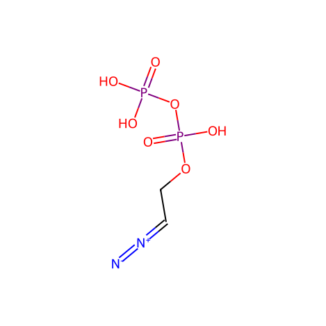 [N-]=[N+]=CCOP(=O)(O)OP(=O)(O)O